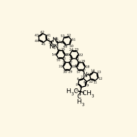 CC(C)(C)c1ccc2c(c1)c1ccccc1n2-c1ccc(-c2ccccc2-c2ccccc2-c2ccc(-n3nc(-c4ccccc4)nc3-c3ccccc3)cc2)cc1